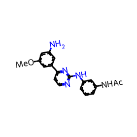 COc1cc(N)cc(-c2ccnc(Nc3cccc(NC(C)=O)c3)n2)c1